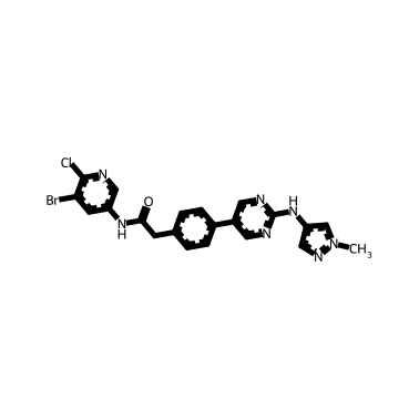 Cn1cc(Nc2ncc(-c3ccc(CC(=O)Nc4cnc(Cl)c(Br)c4)cc3)cn2)cn1